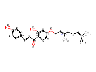 CC(C)=CCC/C(C)=C/COc1ccc(C(=O)C=Cc2ccc(O)cc2)c(O)c1